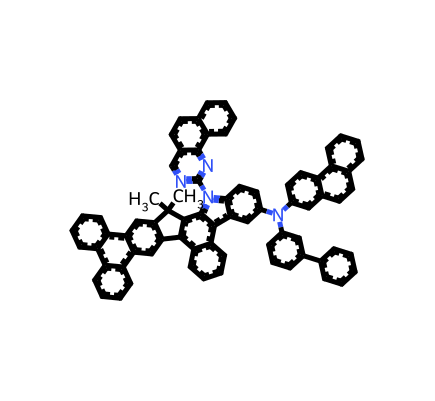 CC1(C)c2cc3c4ccccc4c4ccccc4c3cc2-c2c1c1c(c3ccccc23)c2cc(N(c3cccc(-c4ccccc4)c3)c3ccc4c(ccc5ccccc54)c3)ccc2n1-c1ncc2ccc3ccccc3c2n1